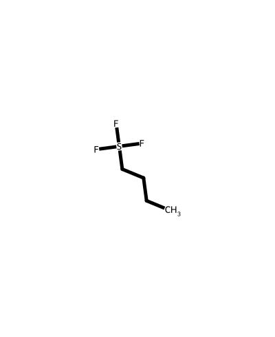 CCCCS(F)(F)F